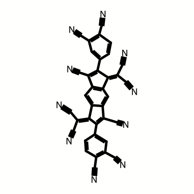 N#CC(C#N)=C1C(c2ccc(C#N)c(C#N)c2)=C(C#N)c2cc3c(cc21)C(C#N)=C(c1ccc(C#N)c(C#N)c1)C3=C(C#N)C#N